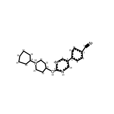 N#Cc1ccc(-c2cnc(OC3CCN(C4CCCCC4)CC3)nc2)cc1